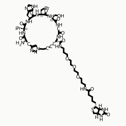 CC(C)C[C@@H]1NC(=O)[C@H](Cc2c[nH]cn2)NC(=O)[C@H](C(C)C)NC(=O)[C@@H](N)Cc2cn(nn2)CCCC[C@@H](C(=O)NCCCOCCOCCOCCCNC(=O)CCCC[C@H]2SC[C@H]3NC(=O)N[C@H]32)NC(=O)CNC(=O)[C@H](CO)NC1=O